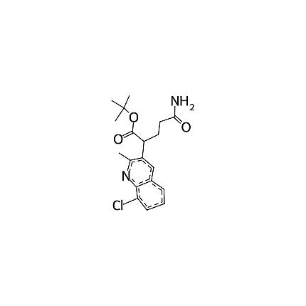 Cc1nc2c(Cl)cccc2cc1C(CCC(N)=O)C(=O)OC(C)(C)C